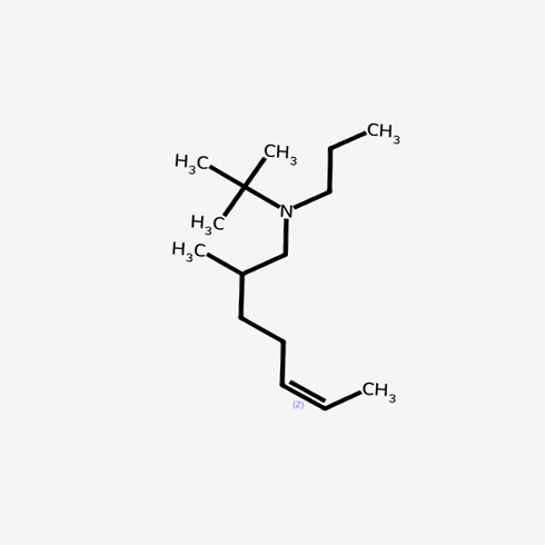 C/C=C\CCC(C)CN(CCC)C(C)(C)C